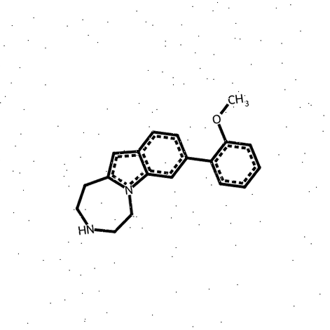 COc1ccccc1-c1ccc2cc3n(c2c1)CCNCC3